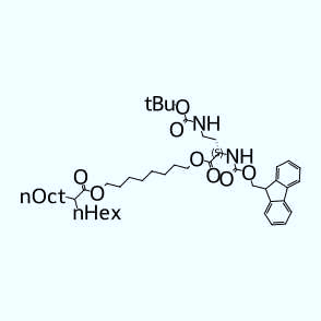 CCCCCCCCC(CCCCCC)C(=O)OCCCCCCCCOC(=O)[C@H](CCNC(=O)OC(C)(C)C)NC(=O)OCC1c2ccccc2-c2ccccc21